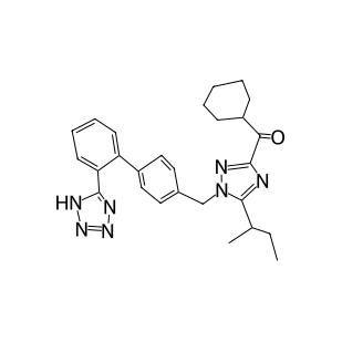 CCC(C)c1nc(C(=O)C2CCCCC2)nn1Cc1ccc(-c2ccccc2-c2nnn[nH]2)cc1